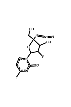 [N-]=[N+]=NC1(CO)OC(n2ccc(I)nc2=O)C(F)C1O